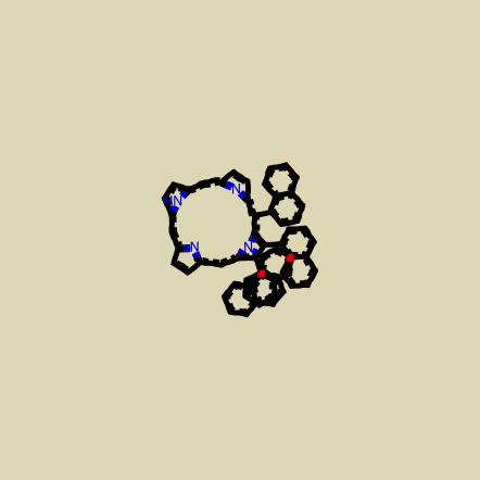 C1=Cc2cc3c(-c4cccc5ccccc45)c(-c4cccc5ccccc45)c(c(-c4cccc5ccccc45)c4nc(cc5ccc(cc1n2)[nH]5)C=C4)n3-c1cccc2ccccc12